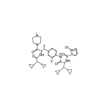 CCn1nccc1C(=O)N[C@H](C(=O)Nc1ccc([C@H](C)[C@@H](NC(=O)C(C2CC2)C2CC2)C(=O)N2CCN(C)CC2)cc1F)C(C1CC1)C1CC1